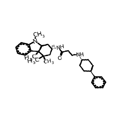 CN1c2ccccc2C2(C)C1C[C@H](NC(=O)CCN[C@H]1CC[C@H](c3ccccc3)CC1)CC2(C)C